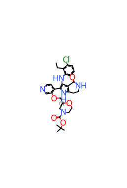 CCc1c(Cl)cccc1Nc1c(-c2ccncc2OC[C@@H]2CN(C(=O)OC(C)(C)C)CCO2)[nH]c2c1C(=O)NCC2